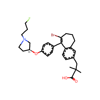 CC(C)(Cc1ccc2c(c1)CCCC(Br)=C2c1ccc(O[C@H]2CCN(CCCF)C2)cc1)C(=O)O